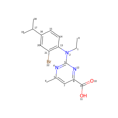 CCN(c1nc(C)cc(C(=O)O)n1)c1ccc(C(C)C)cc1Br